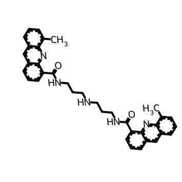 Cc1cccc2cc3cccc(C(=O)NCCCNCCCNC(=O)c4cccc5cc6cccc(C)c6nc45)c3nc12